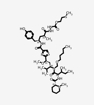 CCCCCOCN(C(=O)[C@@H](NC(=O)[C@H]1CCCCN1C)C(C)CC)[C@H](C[C@@H](OC)c1nc(C(=O)N[C@@H](Cc2ccc(O)cc2)C[C@H](C)C(=O)NNC(=O)OCCSC)cs1)C(C)C